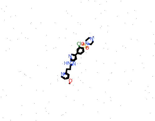 COc1ccnc(CCc2nc3cc(-c4ccc(S(=O)(=O)N5CCN(C)CC5)c(Cl)c4)cnc3[nH]2)c1